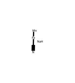 N#[C][Fe][Mn].[NaH]